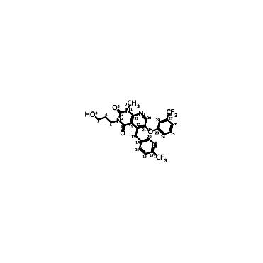 Cn1c(=O)n(CCCO)c(=O)c2c(Cc3ccc(C(F)(F)F)nc3)c(Oc3cccc(C(F)(F)F)c3)cnc21